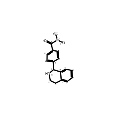 CCN(CC)C(=O)c1ccc(C2NCCc3c[c]ccc32)cc1